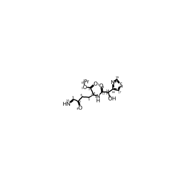 CC(C)OC(=O)[C@H](CCC(=O)C=N)NC(=O)[C@H](O)c1cscn1